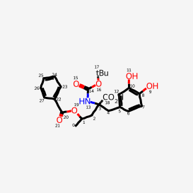 CC(CC(Cc1ccc(O)c(O)c1)(NC(=O)OC(C)(C)C)C(=O)O)OC(=O)c1ccccc1